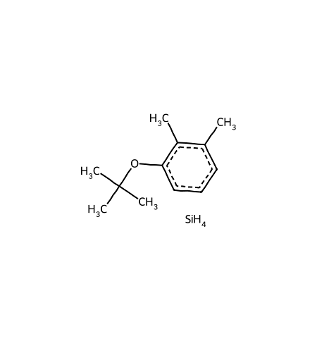 Cc1cccc(OC(C)(C)C)c1C.[SiH4]